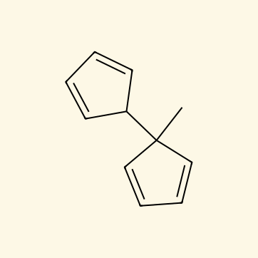 CC1(C2C=CC=C2)C=CC=C1